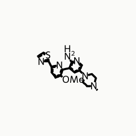 COc1ccc(-c2nccs2)nc1-c1cc(N2CCN(C)CC2)cnc1N